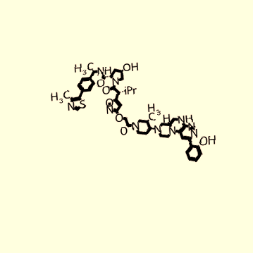 Cc1ncsc1-c1ccc([C@H](C)NC(=O)[C@@H]2C[C@@H](O)CN2C(=O)[C@@H](c2cc(OCC(=O)N3CC[C@H](N4CCN5c6cc(-c7ccccc7O)nnc6NC[C@H]5C4)[C@H](C)C3)no2)C(C)C)cc1